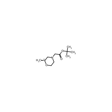 C[C@H]1CN(CC(=O)OC(C)(C)C)CCO1